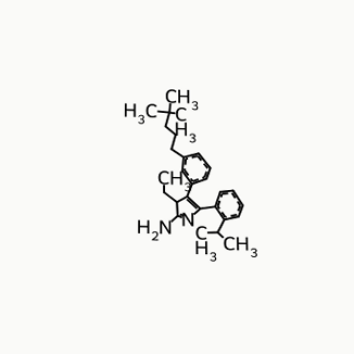 CCC1C(N)=NC(c2ccccc2C(C)C)=C1c1cccc(CCCC(C)(C)C)c1